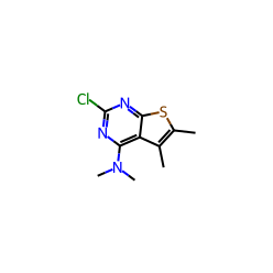 Cc1sc2nc(Cl)nc(N(C)C)c2c1C